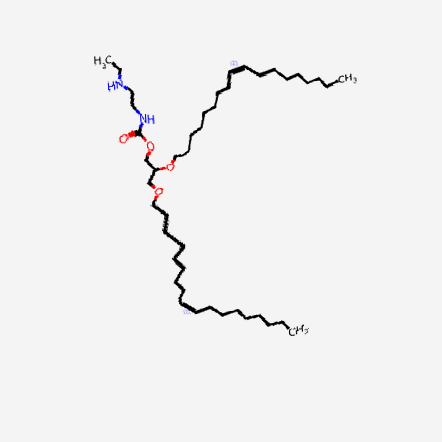 CCCCCCCC/C=C\CCCCCCCCOCC(COC(=O)NCCNCC)OCCCCCCCC/C=C\CCCCCCCC